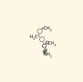 C/C=C1/CCCC(C(C)C2CCCC(c3ccc(N=NN)cc3OC)CC2)CC1